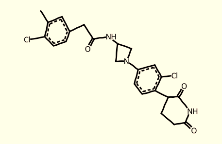 Cc1cc(CC(=O)NC2CN(c3ccc(C4CCC(=O)NC4=O)c(Cl)c3)C2)ccc1Cl